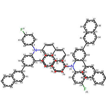 Fc1ccc(N(C2=C3C=CC4=C5C(=CC=C(C=C2)C35)C(N(c2ccc(F)cc2)c2ccc(-c3ccc5ccccc5c3)cc2-c2ccc3ccccc3c2)C=C4)c2ccc(-c3ccc4ccccc4c3)cc2-c2ccc3ccccc3c2)cc1